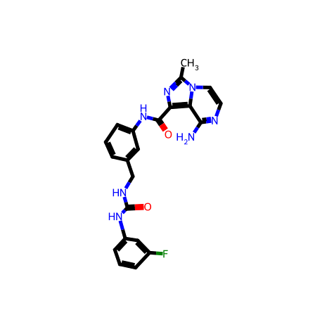 Cc1nc(C(=O)Nc2cccc(CNC(=O)Nc3cccc(F)c3)c2)c2c(N)nccn12